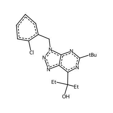 CCC(O)(CC)c1nc(C(C)(C)C)nc2c1nnn2Cc1ccccc1Cl